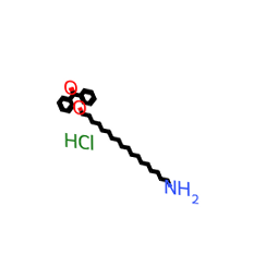 Cl.NCCCCCCCCCCCCCCCCCCOc1ccccc1C(=O)c1ccccc1